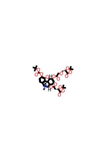 CN1CC[C@]23c4c5ccc(OC(=O)OC(C)(C)C)c4O[C@H]2C(OC(=O)COC[C@@H]2OC(C)(C)OC2=O)=CC[C@@]3(OC(=O)C[C@@H]2OC(C)(C)OC2=O)[C@H]1C5